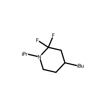 CCC(C)C1CCN(C(C)C)C(F)(F)C1